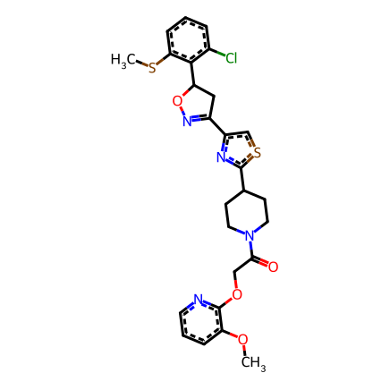 COc1cccnc1OCC(=O)N1CCC(c2nc(C3=NOC(c4c(Cl)cccc4SC)C3)cs2)CC1